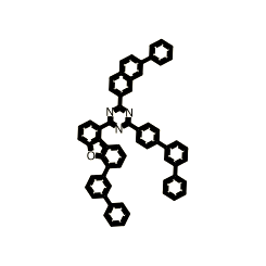 c1ccc(-c2cccc(-c3ccc(-c4nc(-c5ccc6ccc(-c7ccccc7)cc6c5)nc(-c5cccc6oc7c(-c8cccc(-c9ccccc9)c8)cccc7c56)n4)cc3)c2)cc1